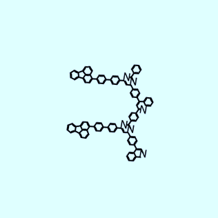 c1ccc(-c2nc(-c3ccc(-c4ccc(-c5ccc6c7c(cccc57)-c5ccccc5-6)cc4)cc3)cc(-c3ccc(-c4cc(-c5ccc(-c6nc(-c7ccc(-c8ccc(-c9ccc%10c%11c(cccc9%11)-c9ccccc9-%10)cc8)cc7)cc(-c7ccc(-c8cncc9ccccc89)cc7)n6)cc5)nc5ccccc45)cc3)n2)cc1